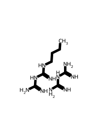 CCCCNC(=N)NC(=N)N.N=C(N)NC(=N)N